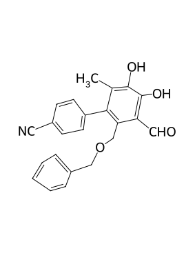 Cc1c(O)c(O)c(C=O)c(COCc2ccccc2)c1-c1ccc(C#N)cc1